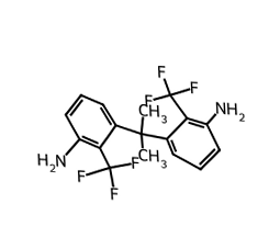 CC(C)(c1cccc(N)c1C(F)(F)F)c1cccc(N)c1C(F)(F)F